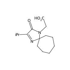 CC(C)C1=NC2(CCCCCC2)N(CC(=O)O)C1=O